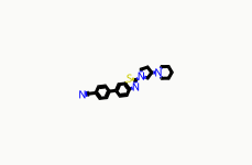 N#Cc1ccc(-c2ccc3nc(N4CCC(N5CCCCC5)C4)sc3c2)cc1